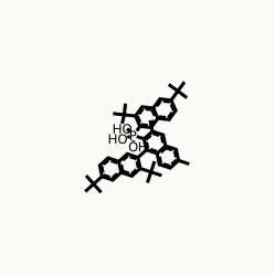 Cc1ccc2c(-c3cc4ccc(C(C)(C)C)cc4cc3C(C)(C)C)c(P(O)(O)(O)c3cc4ccc(C(C)(C)C)cc4cc3C(C)(C)C)c(C)cc2c1